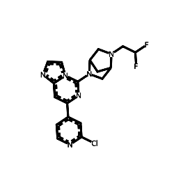 FC(F)CN1CC2CC1CN2c1nc(-c2ccnc(Cl)c2)cc2nccn12